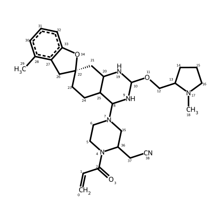 C=CC(=O)N1CCN(C2NC(OCC3CCCN3C)NC3C[C@]4(CCC32)Cc2c(C)cccc2O4)CC1CC#N